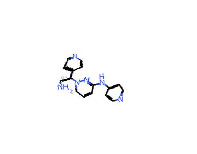 N/C=C(/c1ccncc1)N1CC=CC(Nc2ccncc2)=N1